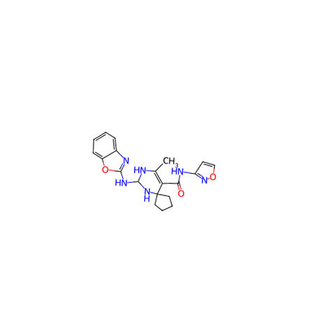 CC1=C(C(=O)Nc2ccon2)C2(CCCC2)NC(Nc2nc3ccccc3o2)N1